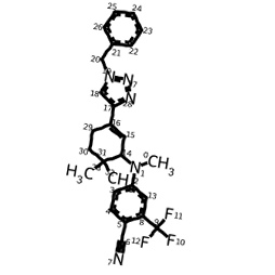 CN(c1ccc(C#N)c(C(F)(F)F)c1)C1C=C(c2cn(Cc3ccccc3)nn2)CCC1(C)C